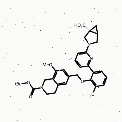 COc1cc(COc2c(C)cccc2-c2cccc(N3CC4C[C@]4(C(=O)O)C3)n2)cc2c1CN(C(=O)OC(C)(C)C)CC2